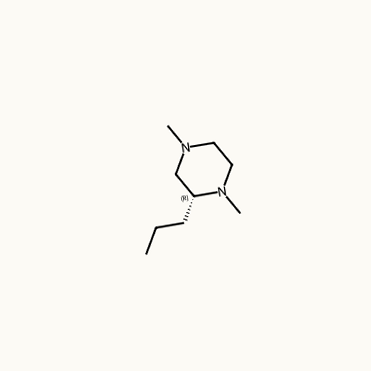 CCC[C@@H]1CN(C)CCN1C